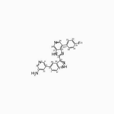 Nc1cncc(-c2ccc3[nH]nc(-c4nc5c(-c6ccc(F)cc6)cncc5[nH]4)c3c2)c1